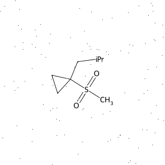 CC(C)CC1(S(C)(=O)=O)CC1